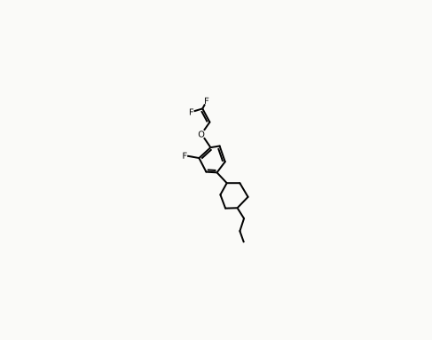 CCCC1CCC(c2ccc(OC=C(F)F)c(F)c2)CC1